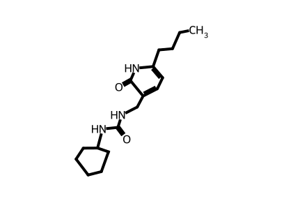 CCCCc1ccc(CNC(=O)NC2CCCCC2)c(=O)[nH]1